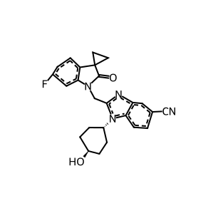 N#Cc1ccc2c(c1)nc(CN1C(=O)C3(CC3)c3ccc(F)cc31)n2[C@H]1CC[C@H](O)CC1